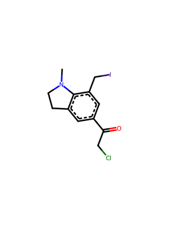 CN1CCc2cc(C(=O)CCl)cc(CI)c21